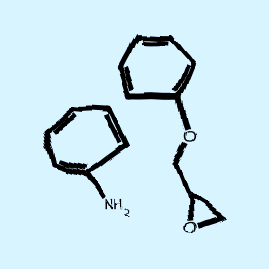 Nc1ccccc1.c1ccc(OCC2CO2)cc1